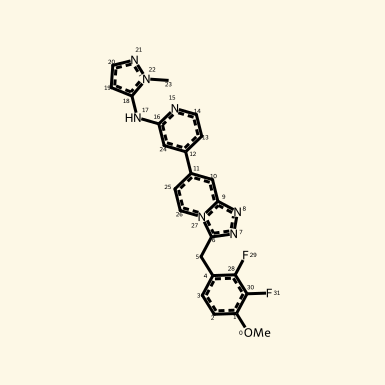 COc1ccc(Cc2nnc3cc(-c4ccnc(Nc5ccnn5C)c4)ccn23)c(F)c1F